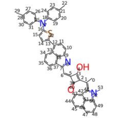 C/C(C1=C(O)/C(=C\C2=Nc3ccc(-c4ccc(N(c5ccc(C)cc5)c5ccc(C)cc5)s4)c4cccc2c34)C1=O)=c1/c2cccc3cccc(c32)n1C